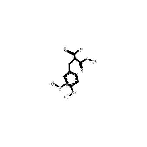 COC(=O)C(Cc1ccc(OC)c(OC)c1)C(=O)O